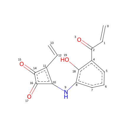 C=CC(=O)c1cccc(Nc2c(C=C)c(=O)c2=O)c1O